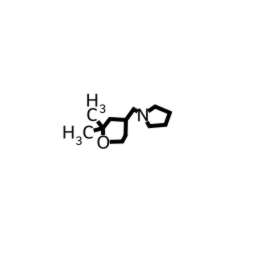 CC1(C)CC(CN2CCCC2)CCO1